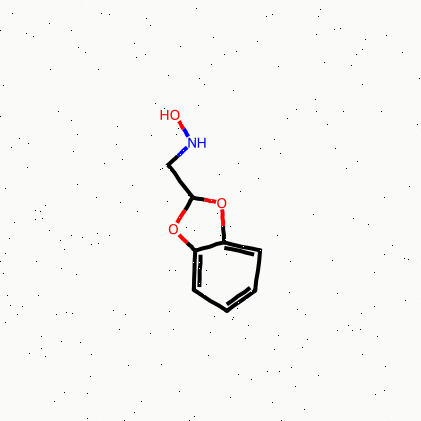 ONCC1Oc2ccccc2O1